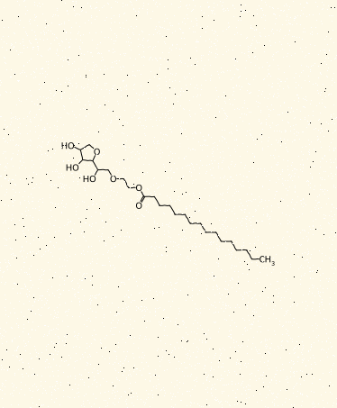 CCCCCCCCCCCCCCCC(=O)OCCOCC(O)C1OCC(O)C1O